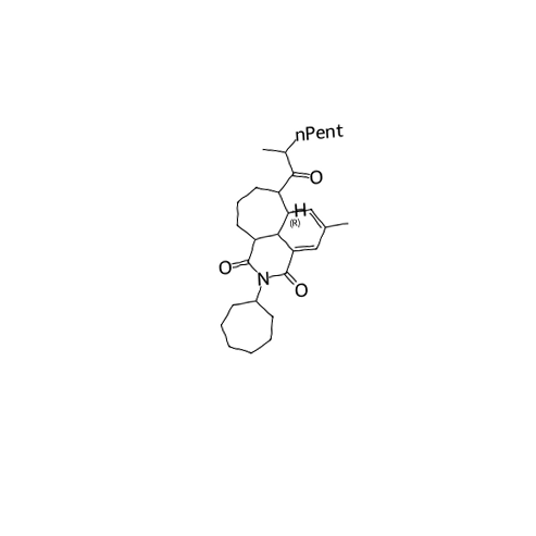 CCCCCC(C)C(=O)C1CCCC2C(=O)N(C3CCCCCC3)C(=O)C3=CC(C)=C[C@H]1C32